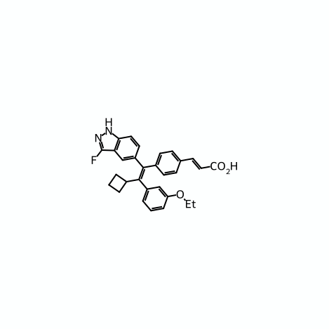 CCOc1cccc(C(=C(c2ccc(C=CC(=O)O)cc2)c2ccc3[nH]nc(F)c3c2)C2CCC2)c1